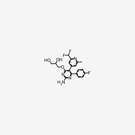 Cc1cc(-c2c(OCC(O)CO)nc(N)nc2-c2ccc(F)cc2)cc(C(F)F)n1